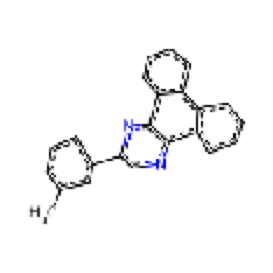 Cc1cccc(-c2cnc3c4ccccc4c4ccccc4c3n2)c1